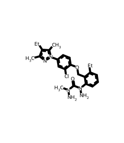 CCc1cccc(N(N)C(=O)N(C)N)c1COc1ccc(-n2nc(C)c(CC)c2C)cc1Cl